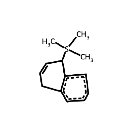 CS(C)(C)C1C=CCc2ccccc21